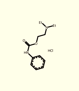 CCN(CC)CCOC(=O)Nc1ccccc1.Cl